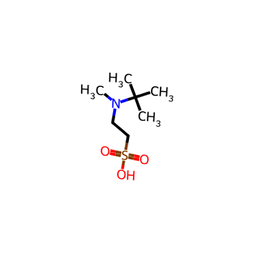 CN(CCS(=O)(=O)O)C(C)(C)C